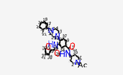 CC(=O)N1CCC(NC(=O)c2ccc(N3CCN(c4ccccc4C)CC3)c(NC(=O)c3ccco3)c2)CC1